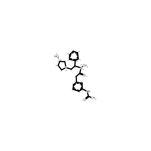 CC(=O)Nc1cccc(CC(=O)N(C)C(CN2CC[C@H](O)C2)c2ccccc2)c1